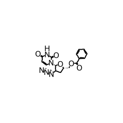 [N-]=[N+]=NC1C[C@@H](COC(=O)c2ccccc2)O[C@H]1n1ccc(=O)[nH]c1=O